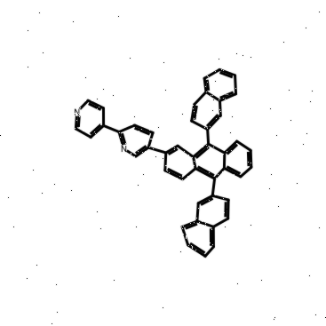 c1ccc2cc(-c3c4ccccc4c(-c4ccc5ccccc5c4)c4cc(-c5ccc(-c6ccncc6)nc5)ccc34)ccc2c1